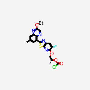 CCOc1cnc2c(-c3nc4cc(F)c(OC[C@@H](C)OC(=O)Cl)nc4s3)cc(C)cc2n1